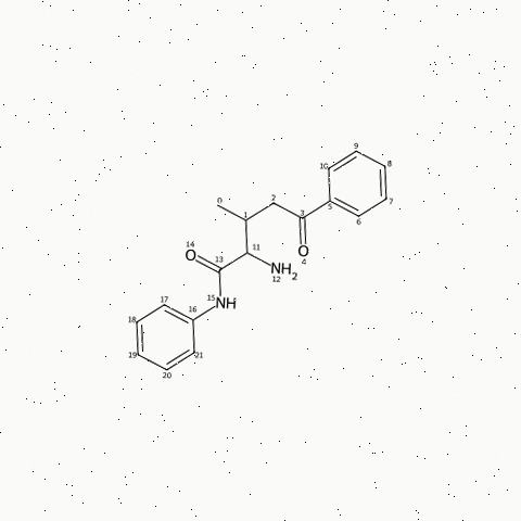 CC(CC(=O)c1ccccc1)C(N)C(=O)Nc1ccccc1